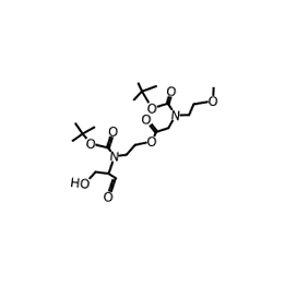 COCCN(CC(=O)OCCN(C(=O)OC(C)(C)C)C(C=O)CO)C(=O)OC(C)(C)C